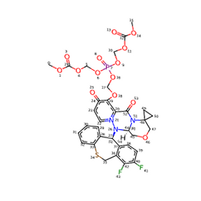 COC(=O)OCOP(=O)(OCOC(=O)OC)OCOc1c2n(ccc1=O)N([C@@H]1c3ccccc3SCc3c1ccc(F)c3F)[C@@H]1COCC3(CC3)N1C2=O